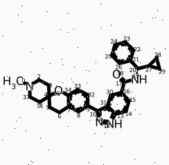 CN1CCC2(CCc3cc(-c4n[nH]c5ccc(C(=O)N[C@H](c6ccccc6)C6CC6)cc45)ccc3O2)CC1